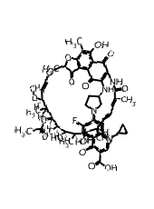 CO[C@H]1/C=C/O[C@@]2(C)Oc3c(C)c(O)c4c(c3C2=O)C(=O)C(N[C@@H]2CCN(c3cc5c(cc3F)c(=O)c(C(=O)O)cn5C3CC3)C2)=C(NC(=O)/C(C)=C\C=C\[C@H](C)[C@H](O)[C@@H](C)[C@@H](O)[C@@H](C)[C@H](OC(C)=O)[C@@H]1C)C4=O